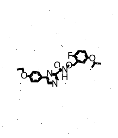 CCOc1ccc(-c2cncc(C(=O)NOCc3cc(OC(C)C)ccc3F)n2)cc1